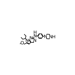 CCC(CC)n1c(COC)cc2cnc(Nc3ccc(N4CCNCC4)cc3)nc21